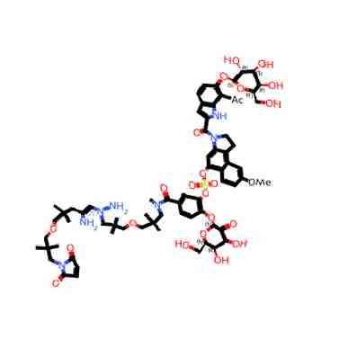 COc1ccc2c(OS(=O)(=O)Oc3cc(C(=O)N(C)CC(C)(C)COCC(C)(C)CN(N)/C=C(\N)CC(C)(C)COCC(C)(C)CN4C(=O)C=CC4=O)ccc3O[C@@H]3O[C@H](CO)[C@H](O)C(O)C3=O)cc3c(c2c1)CCN3C(=O)c1cc2ccc(O[C@@H]3O[C@H](CO)[C@H](O)[C@H](O)[C@H]3O)c(C(C)=O)c2[nH]1